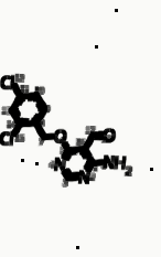 Nc1ncnc(OCc2ccc(Cl)cc2Cl)c1C=O